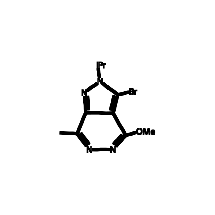 COc1nnc(C)c2nn(C(C)C)c(Br)c12